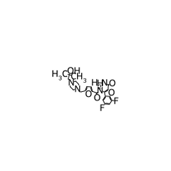 CC(C)(O)CN1CCN(Cc2ccc(C(=O)Nc3c(C(N)=O)oc4c(F)cc(F)cc34)o2)CC1